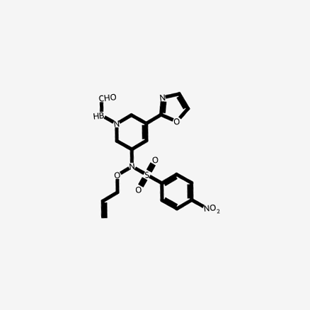 C=CCON(C1C=C(c2ncco2)CN(BC=O)C1)S(=O)(=O)c1ccc([N+](=O)[O-])cc1